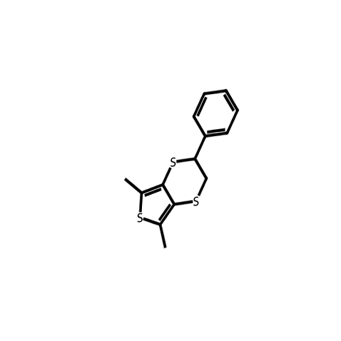 Cc1sc(C)c2c1SCC(c1ccccc1)S2